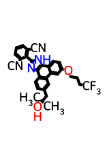 CC(C)(O)Cc1ccc2c(c1)c1cc(OCCCC(F)(F)F)ccc1c1[nH]c(-c3c(C#N)cccc3C#N)nc21